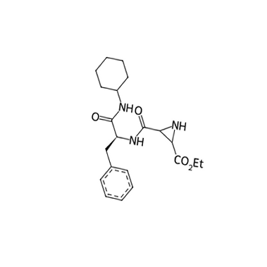 CCOC(=O)C1NC1C(=O)N[C@@H](Cc1ccccc1)C(=O)NC1CCCCC1